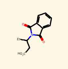 CCC(CC(=O)O)N1C(=O)c2ccccc2C1=O